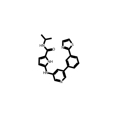 CC(C)NC(=O)c1ccc(Nc2cncc(-c3cccc(-c4nccs4)c3)c2)[nH]1